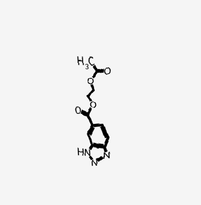 CC(=O)OCCOC(=O)c1ccc2nn[nH]c2c1